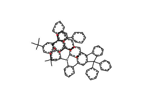 CC(C)(C)c1cc(-c2cccc3cccc(-c4ccccc4N(c4ccccc4-c4ccc5c(c4)C(c4ccccc4)(c4ccccc4)c4ccccc4-5)c4ccccc4-c4cccc5c6ccccc6n(-c6ccccc6)c45)c23)cc(C(C)(C)C)c1